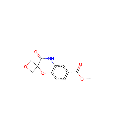 COC(=O)c1ccc2c(c1)NC(=O)C1(COC1)O2